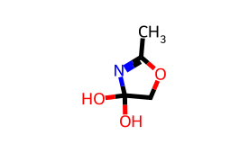 CC1=NC(O)(O)CO1